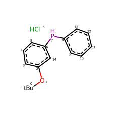 CC(C)(C)Oc1cccc(Pc2ccccc2)c1.Cl